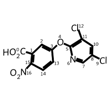 O=C(O)c1cc(Oc2ncc(Cl)cc2Cl)ccc1[N+](=O)[O-]